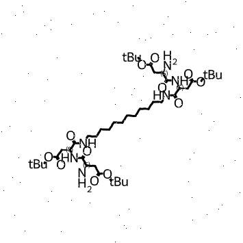 CC(C)(C)OC(=O)C[C@H](NC(=O)[C@@H](N)CC(=O)OC(C)(C)C)C(=O)NCCCCCCCCCCCCNC(=O)[C@H](CC(=O)OC(C)(C)C)NC(=O)[C@@H](N)CC(=O)OC(C)(C)C